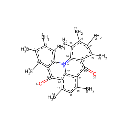 Bc1c(B)c(B)c2c(c1B)c(=O)c1c(B)cc(B)c3c(=O)c4c(B)c(B)c(B)c(B)c4n2c13